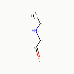 CCNCC=O